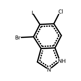 Clc1cc2[nH]ncc2c(Br)c1I